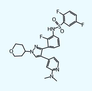 CN(C)c1cc(-c2cn(C3CCOCC3)nc2-c2cccc(NS(=O)(=O)c3cc(F)ccc3F)c2F)ccn1